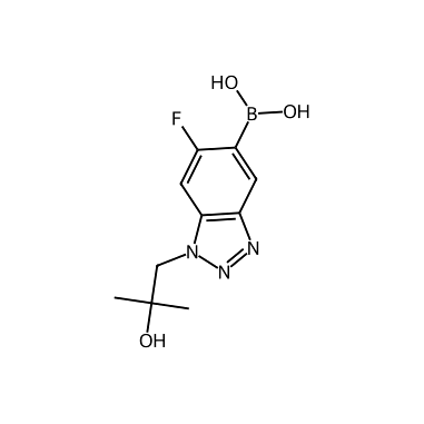 CC(C)(O)Cn1nnc2cc(B(O)O)c(F)cc21